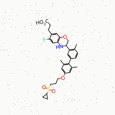 Cc1ccc(-c2c(C)cc(OCCCS(=O)(=O)C3CC3)cc2C)cc1C1COc2cc(CCC(=O)O)c(F)cc2N1